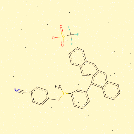 C[S+](Cc1ccc(C#N)cc1)c1cccc(-c2c3ccccc3cc3cc4ccccc4cc23)c1.O=S(=O)([O-])C(F)(F)F